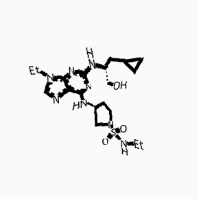 CCNS(=O)(=O)N1CC[C@H](Nc2nc(N[C@@H](CO)CC3CC3)nc3c2ncn3CC)C1